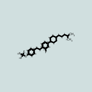 CC(C)CCCC1CCC(c2ccc(CCc3ccc(OC(F)(F)F)cc3)c(F)c2)CC1